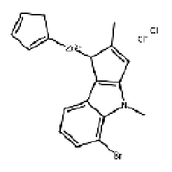 CC1=Cc2c(c3cccc(Br)c3n2C)[CH]1[Zr+2][C]1=CC=CC1.[Cl-].[Cl-]